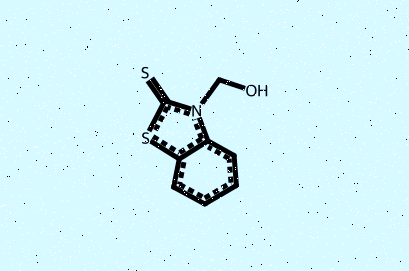 OCn1c(=S)sc2ccccc21